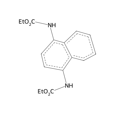 CCOC(=O)Nc1ccc(NC(=O)OCC)c2ccccc12